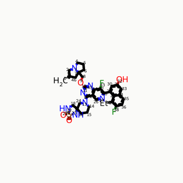 C=C1CN2CCCC2(COc2nc(N3CCCC4(CNS(=O)(=O)N4)C3)c3cnc(-c4cc(O)cc5ccc(F)c(CC)c45)c(F)c3n2)C1